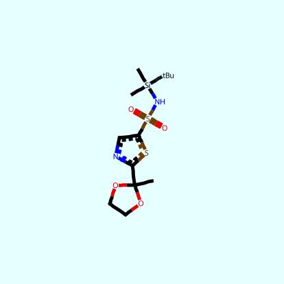 CC1(c2ncc(S(=O)(=O)N[Si](C)(C)C(C)(C)C)s2)OCCO1